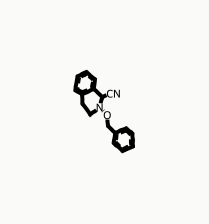 N#CC1c2ccccc2CCN1OCc1ccccc1